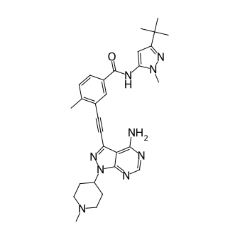 Cc1ccc(C(=O)Nc2cc(C(C)(C)C)nn2C)cc1C#Cc1nn(C2CCN(C)CC2)c2ncnc(N)c12